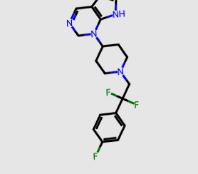 Fc1ccc(C(F)(F)CN2CCC(N3CN=Cc4cc[nH]c43)CC2)cc1